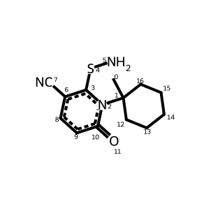 CC1(n2c(SN)c(C#N)ccc2=O)CCCCC1